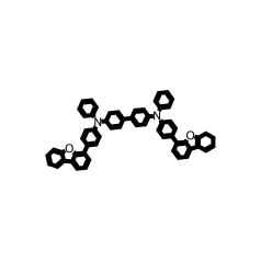 C1=Cc2c(oc3c(-c4ccc(N(c5ccccc5)c5ccc(C6=CCC(N(c7ccccc7)c7ccc(-c8cccc9c8oc8ccccc89)cc7)C=C6)cc5)cc4)cccc23)CC1